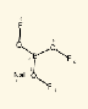 FOB(OF)OF.[NaH]